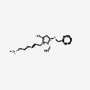 O=C(O)CCC/C=C/C[C@@H]1[C@@H](CO)[C@H](OCc2ccccc2)C[C@@H]1O